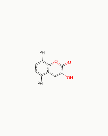 [2H]c1ccc([2H])c2oc(=O)c(O)cc12